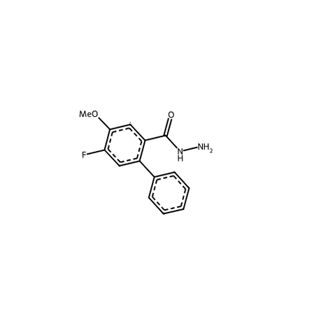 COc1[c]c(C(=O)NN)c(-c2ccccc2)cc1F